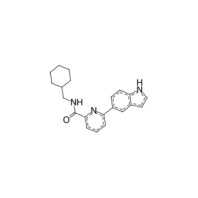 O=C(NCC1CCCCC1)c1cccc(-c2ccc3[nH]ccc3c2)n1